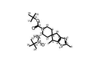 Cc1nc2c(s1)C(C)C1(CCN(C(=O)OC(C)(C)C)[C@@H](N[S@+]([O-])C(C)(C)C)C1)C2